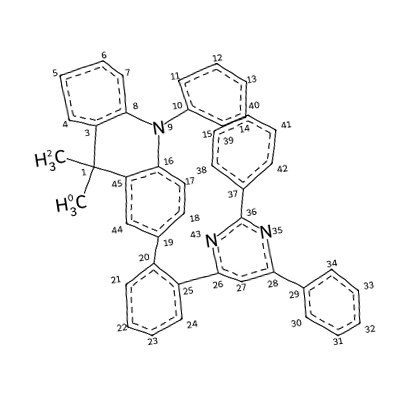 CC1(C)c2ccccc2N(c2ccccc2)c2ccc(-c3ccccc3-c3cc(-c4ccccc4)nc(-c4ccccc4)n3)cc21